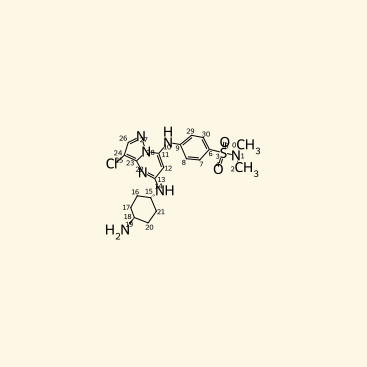 CN(C)S(=O)(=O)c1ccc(Nc2cc(N[C@H]3CC[C@H](N)CC3)nc3c(Cl)cnn23)cc1